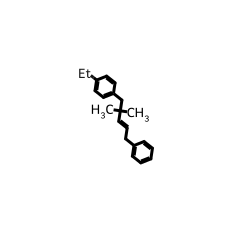 CCc1ccc(CC(C)(C)/C=C/Cc2ccccc2)cc1